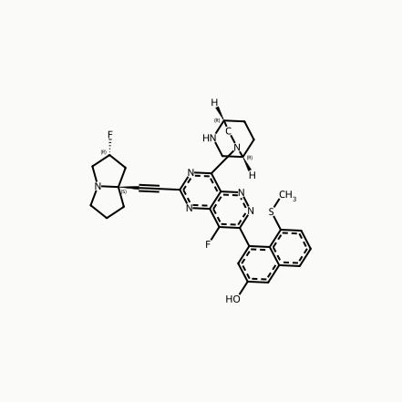 CSc1cccc2cc(O)cc(-c3nnc4c(N5C[C@H]6CC[C@@H]5CN6)nc(C#C[C@@]56CCCN5C[C@H](F)C6)nc4c3F)c12